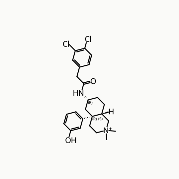 C[N+]1(C)CC[C@@]2(c3cccc(O)c3)C[C@H](NC(=O)Cc3ccc(Cl)c(Cl)c3)CC[C@@H]2C1